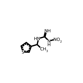 CC(NC(=N)N[N+](=O)[O-])c1ccsc1